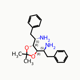 CC1(C)O[C@H]([C@@H](N)Cc2ccccc2)[C@@H]([C@@H](N)Cc2ccccc2)O1